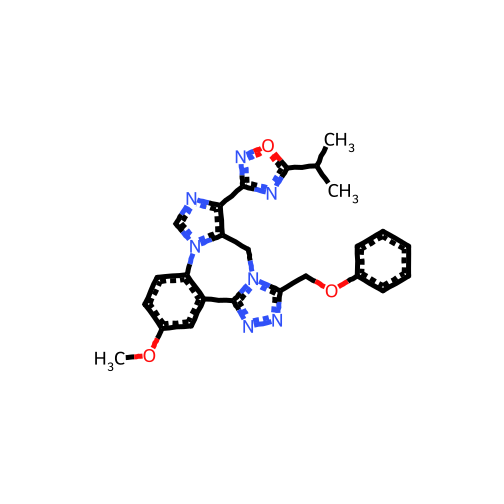 COc1ccc2c(c1)-c1nnc(COc3ccccc3)n1Cc1c(-c3noc(C(C)C)n3)ncn1-2